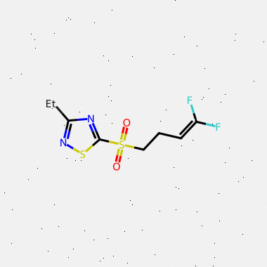 CCc1nsc(S(=O)(=O)CCC=C(F)F)n1